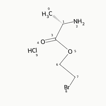 C[C@H](N)C(=O)OCCBr.Cl